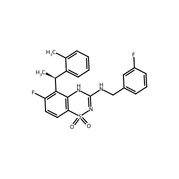 Cc1ccccc1[C@H](C)c1c(F)ccc2c1NC(NCc1cccc(F)c1)=NS2(=O)=O